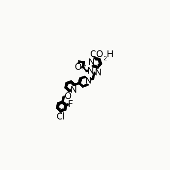 O=C(O)c1ccc2nc(CN3CC=C(c4cccc(OCc5ccc(Cl)cc5F)n4)CC3)n(C[C@@H]3CCO3)c2n1